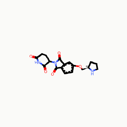 O=C1CCC(N2C(=O)c3ccc(OC[C@H]4CCCN4)cc3C2=O)C(=O)N1